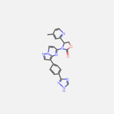 Cc1ccnc(C2COC(=O)N2c2ccn3ncc(-c4ccc(-c5nc[nH]n5)cc4)c3n2)c1